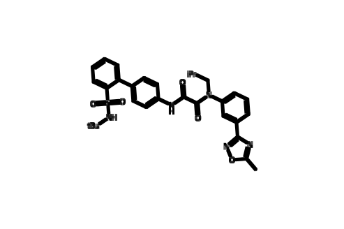 Cc1nc(-c2cccc(N(CC(C)C)C(=O)C(=O)Nc3ccc(-c4ccccc4S(=O)(=O)NC(C)(C)C)cc3)c2)no1